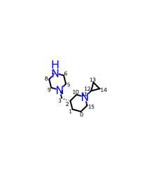 C1C[C@H](CN2CCNCC2)CN(C2CC2)C1